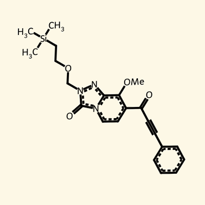 COc1c(C(=O)C#Cc2ccccc2)ccn2c(=O)n(COCC[Si](C)(C)C)nc12